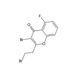 O=c1c(Br)c(CCBr)oc2cccc(F)c12